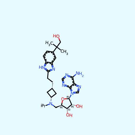 CC(C)N(C[C@H]1O[C@@H](n2cnc3c(N)ncnc32)[C@H](O)[C@@H]1O)[C@H]1C[C@@H](CCc2nc3cc(C(C)(C)CO)ccc3[nH]2)C1